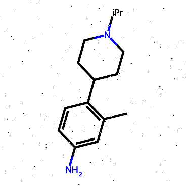 Cc1cc(N)ccc1C1CCN(C(C)C)CC1